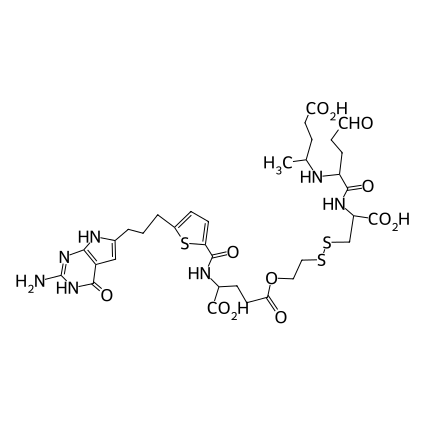 CC(CCC(=O)O)NC(CCC=O)C(=O)NC(CSSCCOC(=O)CCC(NC(=O)c1ccc(CCCc2cc3c(=O)[nH]c(N)nc3[nH]2)s1)C(=O)O)C(=O)O